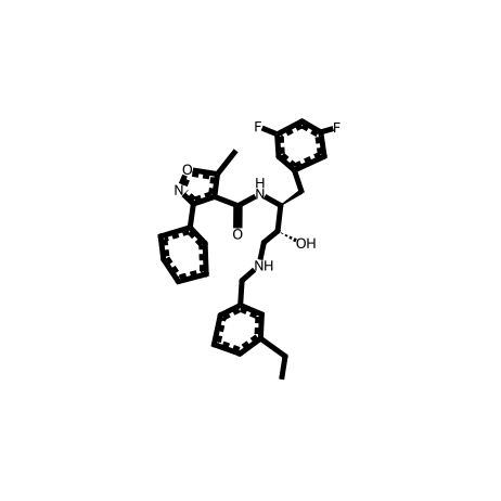 CCc1cccc(CNC[C@@H](O)[C@H](Cc2cc(F)cc(F)c2)NC(=O)c2c(-c3ccccc3)noc2C)c1